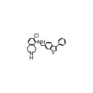 Clc1ccc2c(c1NCc1ccc3c(-c4ccccc4)csc3c1)CCNCC2